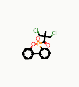 CC(CCl)(CCl)C(=O)P1(=O)Oc2ccccc2-c2ccccc21